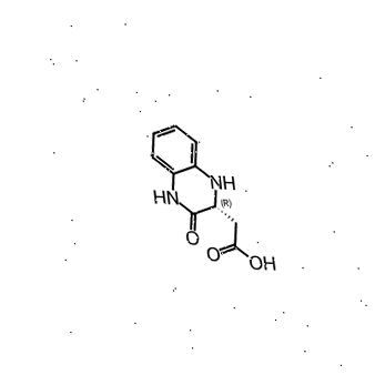 O=C(O)C[C@H]1Nc2ccccc2NC1=O